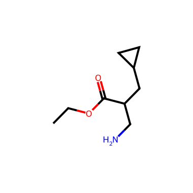 CCOC(=O)C(CN)CC1CC1